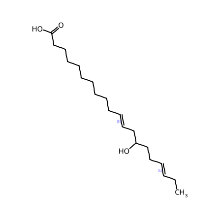 CC/C=C/CCC(O)C/C=C/CCCCCCCCCC(=O)O